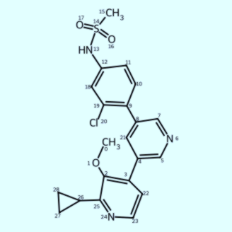 COc1c(-c2cncc(-c3ccc(NS(C)(=O)=O)cc3Cl)c2)ccnc1C1CC1